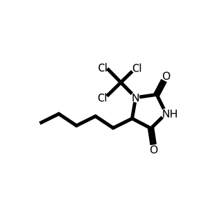 CCCCCC1C(=O)NC(=O)N1C(Cl)(Cl)Cl